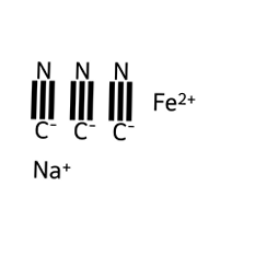 [C-]#N.[C-]#N.[C-]#N.[Fe+2].[Na+]